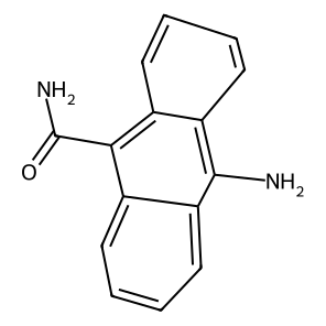 NC(=O)c1c2ccccc2c(N)c2ccccc12